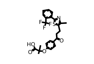 Cc1nc(-c2ccccc2C(F)(F)F)sc1CCC(=O)c1ccc(OC(C)(C)C(=O)O)cc1